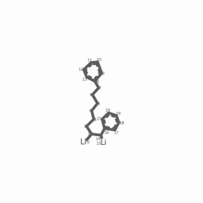 [Li][CH](CCCCCCc1ccccc1)[CH]([Li])c1ccccc1